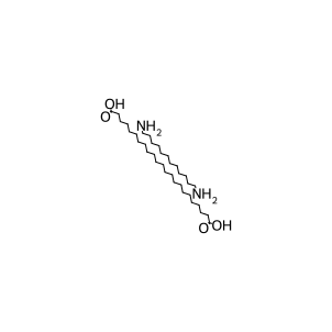 NCCCCCCCCCCCCN.O=C(O)CCCCCCCCCCCCCCCCCCCCCC(=O)O